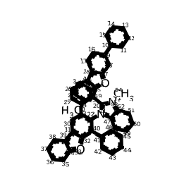 Cc1ccc2c(oc3cc(-c4ccccc4)ccc32)c1-c1n(-c2c(-c3ccccc3)cc3c(oc4ccccc43)c2-c2ccccc2)c2ccccc2[n+]1C